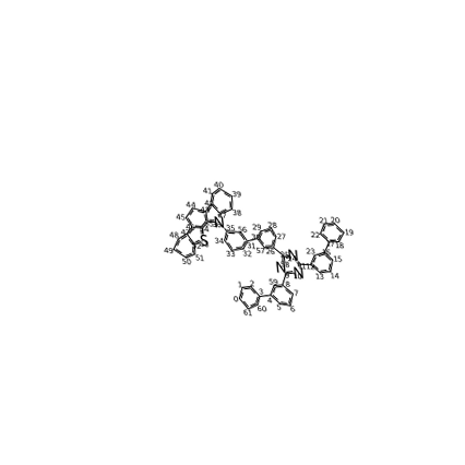 c1ccc(-c2cccc(-c3nc(-c4cccc(-c5ccccc5)c4)nc(-c4cccc(-c5cccc(-n6c7ccccc7c7ccc8c9ccccc9sc8c76)c5)c4)n3)c2)cc1